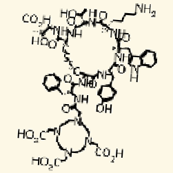 C=C(O)[C@@H]1NC(=O)[C@H](CCCCN)NC(=O)[C@@H](Cc2c[nH]c3ccccc23)NC(=O)C(Cc2ccc(O)cc2)NC(=O)[C@@H](NC(=O)[C@@H](Cc2ccccc2)NC(=O)CN2CCN(CC(=O)O)CCN(CC(=O)O)CCN(CC(=O)O)CC2)CSSC[C@@H](C(=O)N[C@H](C(=O)O)[C@@H](C)O)NC1=O